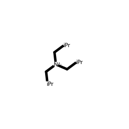 CC(C)C[N+](CC(C)C)CC(C)C